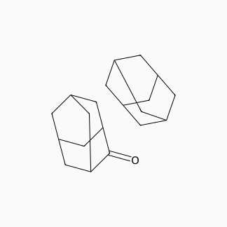 C1C2CC3CC1CC(C2)C3.O=C1C2CC3CC(C2)CC1C3